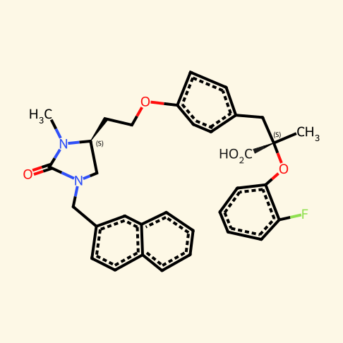 CN1C(=O)N(Cc2ccc3ccccc3c2)C[C@@H]1CCOc1ccc(C[C@](C)(Oc2ccccc2F)C(=O)O)cc1